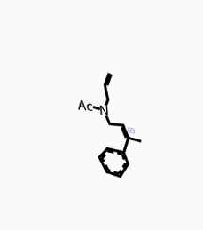 C=CCN(C/C=C(/C)c1ccccc1)C(C)=O